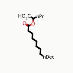 CCCCCCCCCCCCCCCCCC(=O)OC(CCC)C(=O)O